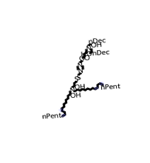 CCCCC/C=C\C/C=C\CCCCCCC(O)CN(CCCCSSCCN1CCN(CCOC(=O)CCCN(CC(O)CCCCCCCCCC)CC(O)CCCCCCCCCC)CC1)CC(O)CCCCCC/C=C\C/C=C\CCCCC